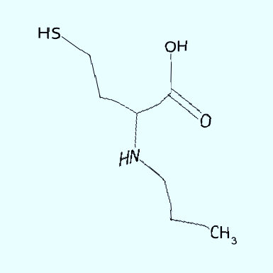 CCCNC(CCS)C(=O)O